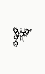 Nc1nn2cc(F)cnc2c1C(=O)Nc1cnncc1N1CCN(C2CCOCC2)CC1